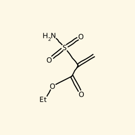 C=C(C(=O)OCC)S(N)(=O)=O